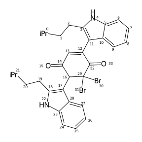 CC(C)CCc1[nH]c2ccccc2c1C1=CC(=O)C(c2c(CCC(C)C)[nH]c3ccccc23)C(Br)(Br)C1=O